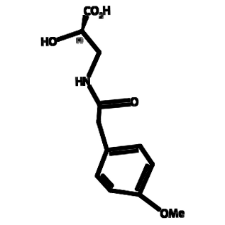 COc1ccc(CC(=O)NC[C@@H](O)C(=O)O)cc1